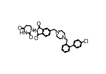 O=C1CCN(N2C(=O)c3ccc(CN4CCN(Cc5ccccc5-c5ccc(Cl)cc5)CC4)cc3C2=O)C(=O)N1